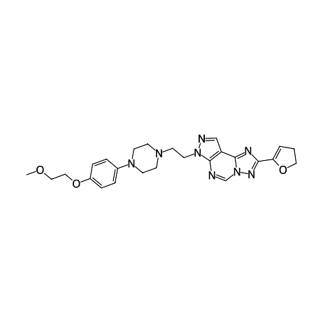 COCCOc1ccc(N2CCN(CCn3ncc4c3ncn3nc(C5=CCCO5)nc43)CC2)cc1